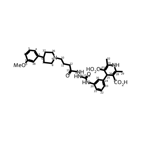 COc1cccc(C2CCN(CCCC(=O)NNC(=O)Nc3cccc(C4C(C(=O)O)=C(C)NC(C)=C4C(=O)O)c3)CC2)c1